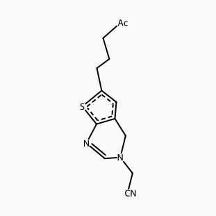 CC(=O)CCCc1cc2c(s1)N=CN(CC#N)C2